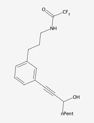 CCCCCC(O)C#Cc1cccc(CCCNC(=O)C(F)(F)F)c1